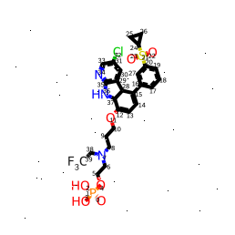 O=P(O)(O)OCCN(CCCOC1=CC=C(c2cccc(S(=O)(=O)C3CC3)c2)C2c3cc(Cl)cnc3NC12)CC(F)(F)F